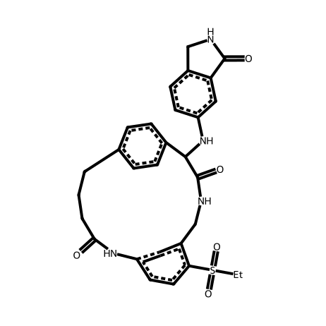 CCS(=O)(=O)c1ccc2cc1CNC(=O)C(Nc1ccc3c(c1)C(=O)NC3)c1ccc(cc1)CCCC(=O)N2